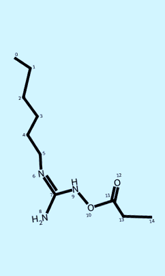 CCCCCCN=C(N)NOC(=O)CC